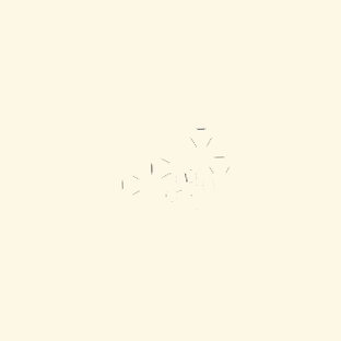 O=C(Oc1cccc(-c2ccccc2)c1)C1(C(=O)Oc2cccc(-c3ccccc3)c2)CCC1